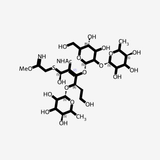 COC(=N)CS[C@H](O)/C(NC(C)=O)=C(/O[C@@H]1OC(CO)[C@H](O)C(O)C1O[C@@H]1OC(C)[C@@H](O)C(O)C1O)[C@@H](CCO)O[C@@H]1OC(C)[C@@H](O)C(O)C1O